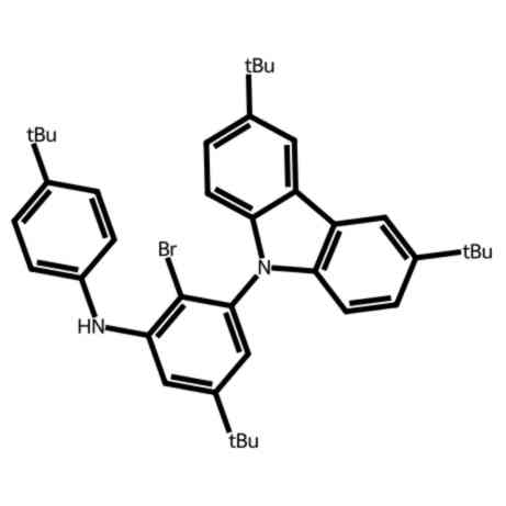 CC(C)(C)c1ccc(Nc2cc(C(C)(C)C)cc(-n3c4ccc(C(C)(C)C)cc4c4cc(C(C)(C)C)ccc43)c2Br)cc1